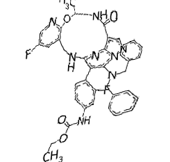 CCOC(=O)Nc1ccc(-c2c3nc4c(cnn4c2N(Cc2ccccc2)Cc2ccccc2)C(=O)NCC(C)Oc2ncc(F)cc2CN3)c(F)c1